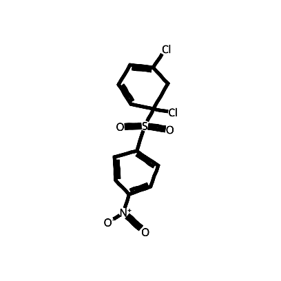 O=[N+]([O-])c1ccc(S(=O)(=O)C2(Cl)C=CC=C(Cl)C2)cc1